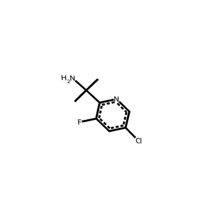 CC(C)(N)c1ncc(Cl)cc1F